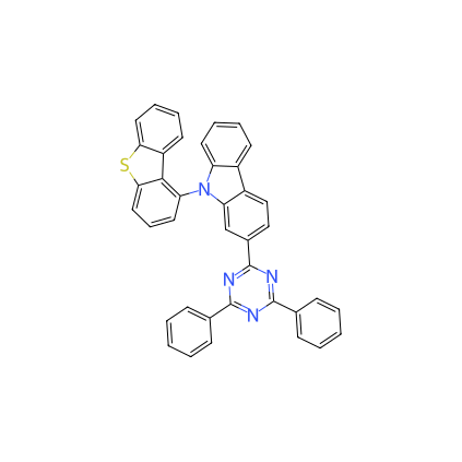 c1ccc(-c2nc(-c3ccccc3)nc(-c3ccc4c5ccccc5n(-c5cccc6sc7ccccc7c56)c4c3)n2)cc1